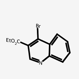 CCOC(=O)c1cnc2ccccc2c1Br